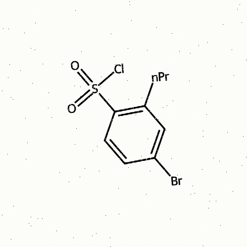 CCCc1cc(Br)ccc1S(=O)(=O)Cl